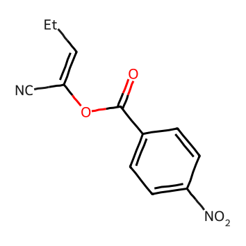 CCC=C(C#N)OC(=O)c1ccc([N+](=O)[O-])cc1